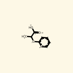 CC(Oc1ccccn1)C(=O)O